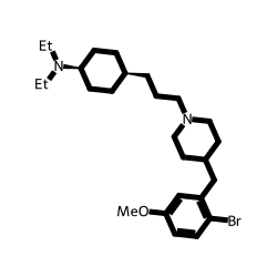 CCN(CC)[C@H]1CC[C@@H](CCCN2CCC(Cc3cc(OC)ccc3Br)CC2)CC1